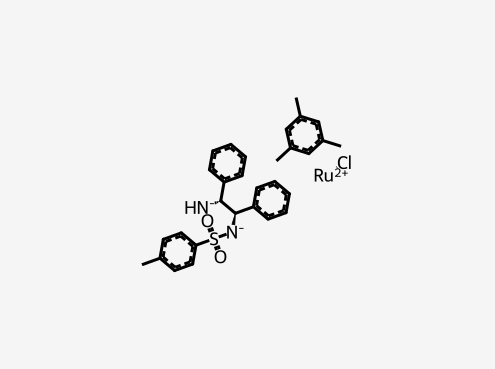 Cc1cc(C)cc(C)c1.Cc1ccc(S(=O)(=O)[N-][C@H](c2ccccc2)[C@H]([NH-])c2ccccc2)cc1.[Cl][Ru+2]